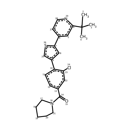 CC(C)(C)c1cc(-c2cc(-c3ccc(C(=O)N4CCCCC4)cc3Cl)cs2)ccn1